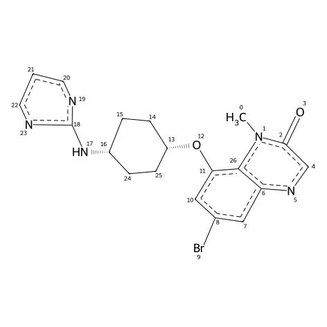 Cn1c(=O)cnc2cc(Br)cc(O[C@H]3CC[C@@H](Nc4ncccn4)CC3)c21